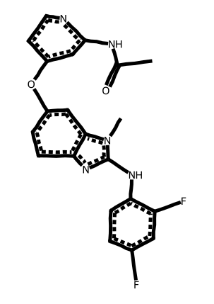 CC(=O)Nc1cc(Oc2ccc3nc(Nc4ccc(F)cc4F)n(C)c3c2)ccn1